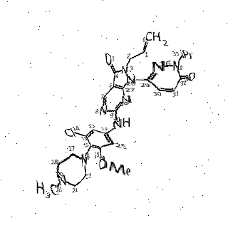 C=CCn1c(=O)c2cnc(Nc3cc(Cl)c(N4CCN(C)CC4)c(OC)c3)nc2n1-c1ccc(=O)n(C(C)C)n1